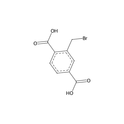 O=C(O)c1ccc(C(=O)O)c(CBr)c1